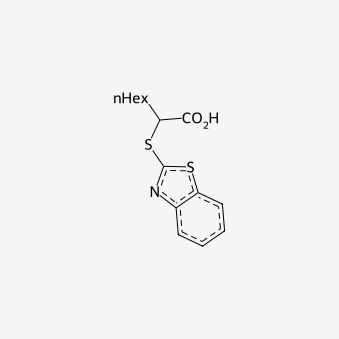 CCCCCCC(Sc1nc2ccccc2s1)C(=O)O